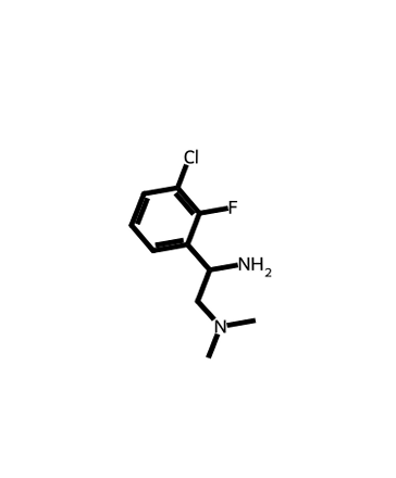 CN(C)CC(N)c1cccc(Cl)c1F